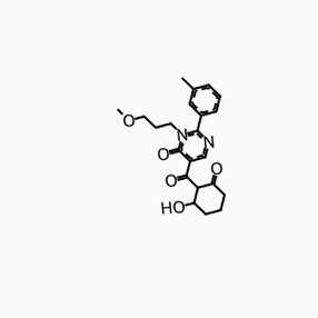 COCCCn1c(-c2cccc(C)c2)ncc(C(=O)C2C(=O)CCCC2O)c1=O